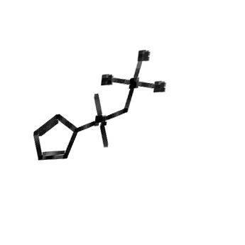 CC[Si](CC)(CC)[CH2][Pt]([CH3])([CH3])[CH]1C=CC=C1